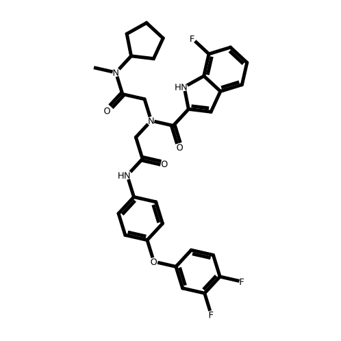 CN(C(=O)CN(CC(=O)Nc1ccc(Oc2ccc(F)c(F)c2)cc1)C(=O)c1cc2cccc(F)c2[nH]1)C1CCCC1